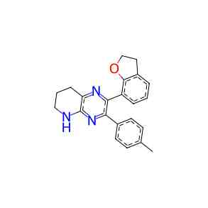 Cc1ccc(-c2nc3c(nc2-c2cccc4c2OCC4)CCCN3)cc1